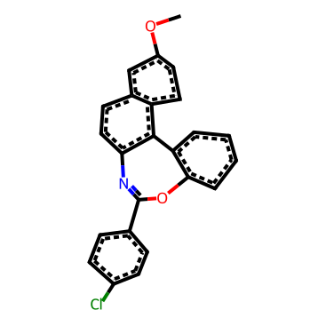 COc1ccc2c3c(ccc2c1)N=C(c1ccc(Cl)cc1)Oc1ccccc1-3